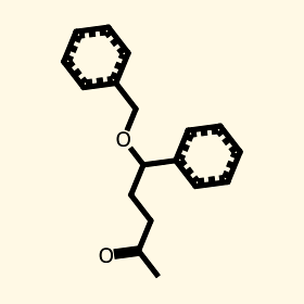 CC(=O)CCC(OCc1ccccc1)c1ccccc1